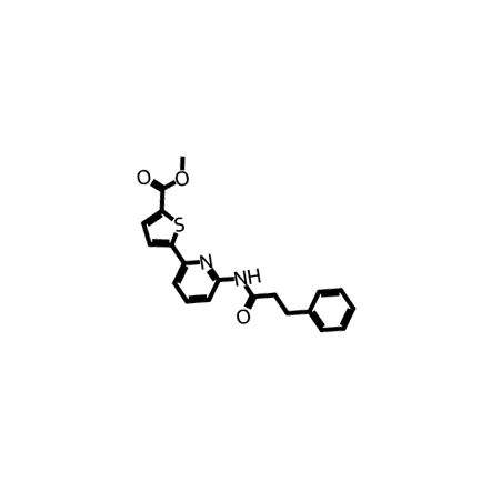 COC(=O)c1ccc(-c2cccc(NC(=O)CCc3ccccc3)n2)s1